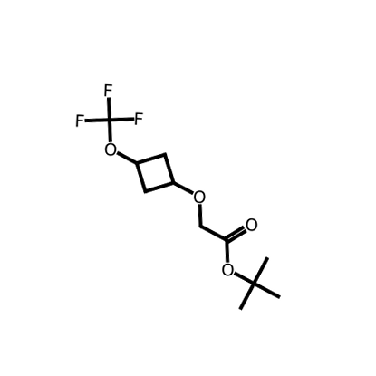 CC(C)(C)OC(=O)COC1CC(OC(F)(F)F)C1